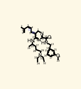 C=C(C)/C=C\C=C1/CN=C(C(=O)NCc2cccc(OC)c2)N=C1NC(C)CCCN(CC)CC